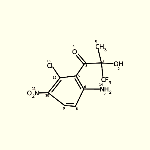 CC(O)(C(=O)c1c(N)ccc([N+](=O)[O-])c1Cl)C(F)(F)F